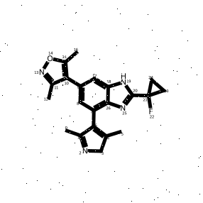 CC1=NCC(C)=C1c1cc(-c2c(C)noc2C)cc2[nH]c(C3(F)CC3)nc12